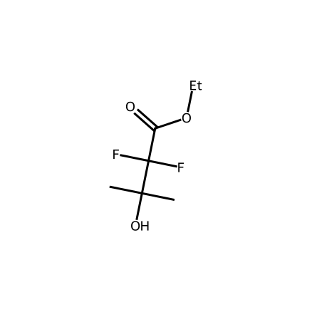 CCOC(=O)C(F)(F)C(C)(C)O